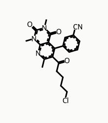 Cc1nc2c(c(-c3cccc(C#N)c3)c1C(=O)CCCCCl)c(=O)n(C)c(=O)n2C